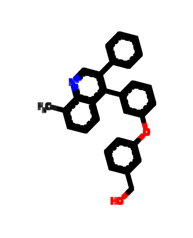 OCc1cccc(Oc2cccc(-c3c(-c4ccccc4)cnc4c(C(F)(F)F)cccc34)c2)c1